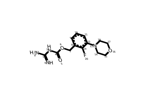 N=C(N)NC(=O)OCc1cccc(N2CCOCC2)c1F